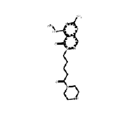 CCCCNc1nc(N)nc2cnn(CCCCC(=O)N3CCNCC3)c(=O)c12